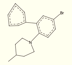 CC1CCN(c2ccc(Br)cc2-c2ccccc2)CC1